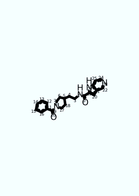 O=C(NCCC1CCN(C(=O)c2ccccc2)CC1)c1cc2cnccc2[nH]1